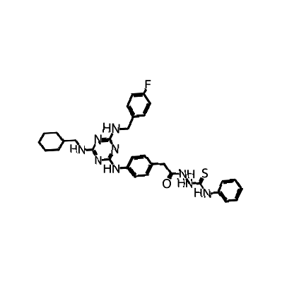 O=C(Cc1ccc(Nc2nc(NCc3ccc(F)cc3)nc(NCC3CCCCC3)n2)cc1)NNC(=S)Nc1ccccc1